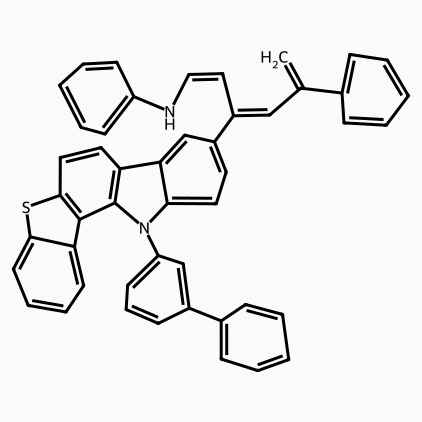 C=C(/C=C(\C=C/Nc1ccccc1)c1ccc2c(c1)c1ccc3sc4ccccc4c3c1n2-c1cccc(-c2ccccc2)c1)c1ccccc1